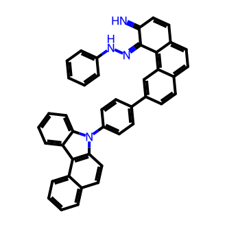 N=C1C=Cc2ccc3ccc(-c4ccc(-n5c6ccccc6c6c7ccccc7ccc65)cc4)cc3c2/C1=N/Nc1ccccc1